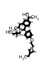 CCC1CN(CCOc2ccc([C@H]3c4ccc([C@H](C)O)cc4C[C@H](C)N3CC(F)(F)CO)cc2)C1